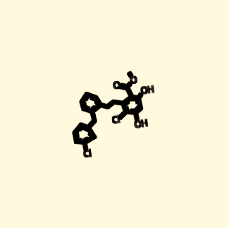 COC(=O)c1c(O)cc(O)c(Cl)c1CCc1ccccc1Cc1cccc(Cl)c1